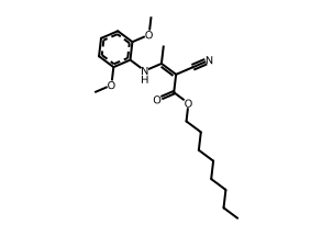 CCCCCCCCOC(=O)C(C#N)=C(C)Nc1c(OC)cccc1OC